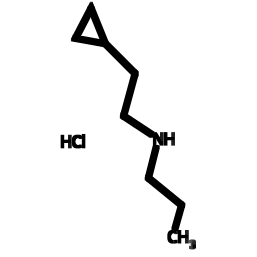 CCCNCCC1CC1.Cl